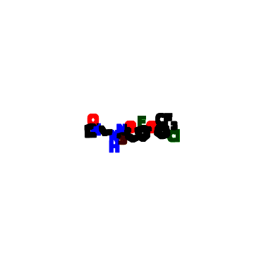 O=C1N=C(NCCCN2CCCC2=O)S/C1=C/c1ccc(Oc2ccc(Cl)cc2C(F)(F)F)c(F)c1